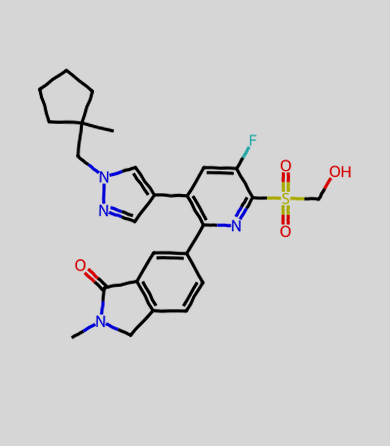 CN1Cc2ccc(-c3nc(S(=O)(=O)CO)c(F)cc3-c3cnn(CC4(C)CCCC4)c3)cc2C1=O